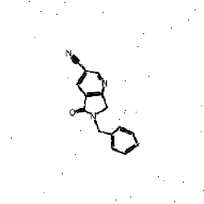 N#Cc1cnc2c(c1)C(=O)N(Cc1ccccc1)C2